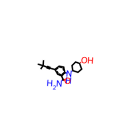 CC(C)(C)C#Cc1ccc(N[C@H]2CC[C@H](O)CC2)c(C(N)=O)c1